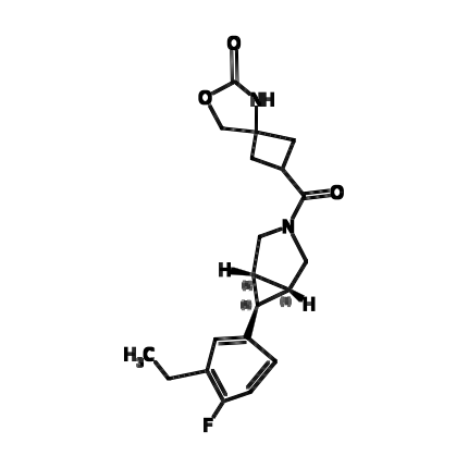 CCc1cc([C@H]2[C@@H]3CN(C(=O)C4CC5(COC(=O)N5)C4)C[C@@H]32)ccc1F